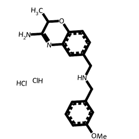 COc1cccc(CNCc2ccc3c(c2)N=C(N)C(C)O3)c1.Cl.Cl